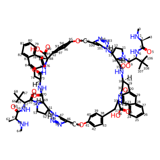 CN[C@@H](C)C(=O)N[C@H](C(=O)N1CC[C@@H]2[C@H]1C(=O)N[C@@H](Cc1ccc3ccccc3c1)C(=O)N[C@H](C(=O)O)Cc1ccc(cc1)OCc1cn(nn1)[C@@H]1CCN(C(=O)[C@@H](NC(=O)[C@H](C)NC)C(C)(C)C)[C@@H]1C(=O)N[C@@H](Cc1ccc3ccccc3c1)C(=O)N[C@H](C(=O)O)c1ccc(cc1)OCc1cn2nn1)C(C)(C)C